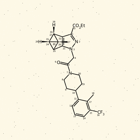 CCOC(=O)c1nn(CC(=O)N2CCC(c3cccc(C(F)(F)F)c3C)CC2)c2c1[C@H]1[C@H]3C2[C@]31C